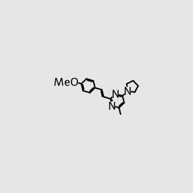 COc1ccc(/C=C/c2nc(C)cc(N3CCCC3)n2)cc1